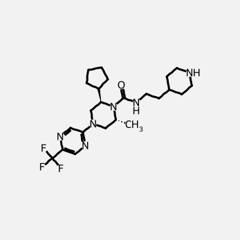 C[C@@H]1CN(c2cnc(C(F)(F)F)cn2)C[C@@H](C2CCCC2)N1C(=O)NCCC1CCNCC1